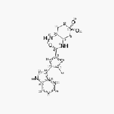 Cc1sc(C(=O)NC2CS(=O)(=O)CCC2N)cc1-c1cnc2cccnn12